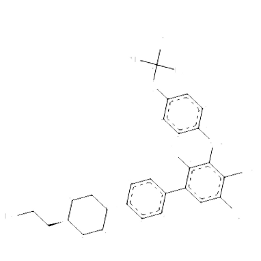 CCC[C@H]1CC[C@H](c2ccc(-c3cc(F)c(F)c(Oc4ccc(OC(F)(F)F)cc4)c3C)cc2)CC1